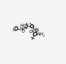 COc1c(N)cc(C(C)(C)C)cc1C(=O)Nc1ccc(C)c(-c2cc(C(=O)NCc3cccnc3)on2)c1